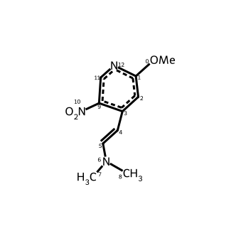 COc1cc(C=CN(C)C)c([N+](=O)[O-])cn1